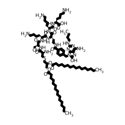 CCCCCCCCCCCCCCCC(=O)OCC(CSC[C@H](N)C(=O)N[C@@H](CO)C(=O)N[C@@H](CCCCN)C(=O)N[C@@H](CCNC(=O)c1ccc(Cn2c(O)nc3c(N)nc(NCCCC)nc32)cc1)C(=O)N[C@@H](CCCCN)C(=O)N[C@@H](CCCCN)C(=O)O)OC(=O)CCCCCCCCCCCCCCC